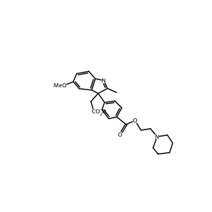 COc1ccc2c(c1)C(CC(=O)O)(c1ccc(C(=O)OCCN3CCCCC3)cc1)C(C)=N2